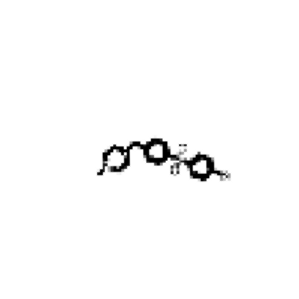 CN1CCN(Cc2ccc(S(=O)(=O)c3ccc(Br)cc3)cc2)CC1